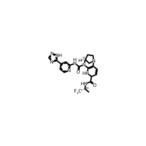 C[C@@H](NC(=O)C1C=CC2=C(N1)N(C(=O)Nc1cc(-c3ncn[nH]3)ccn1)[C@H]1CCN2C1)C(F)(F)F